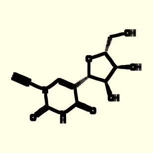 C#Cn1cc([C@@H]2O[C@H](CO)[C@@H](O)[C@H]2O)c(=O)[nH]c1=O